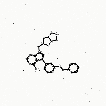 Nc1ncnc2c1c(-c1cccc(OCc3ccccc3)c1)cn2CC1CC2CNCC2C1